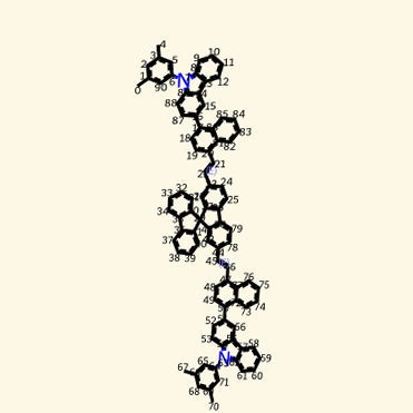 Cc1cc(C)cc(-n2c3ccccc3c3cc(-c4ccc(/C=C/c5ccc6c(c5)C5(c7ccccc7-c7ccccc75)c5cc(/C=C/c7ccc(-c8ccc9c(c8)c8ccccc8n9-c8cc(C)cc(C)c8)c8ccccc78)ccc5-6)c5ccccc45)ccc32)c1